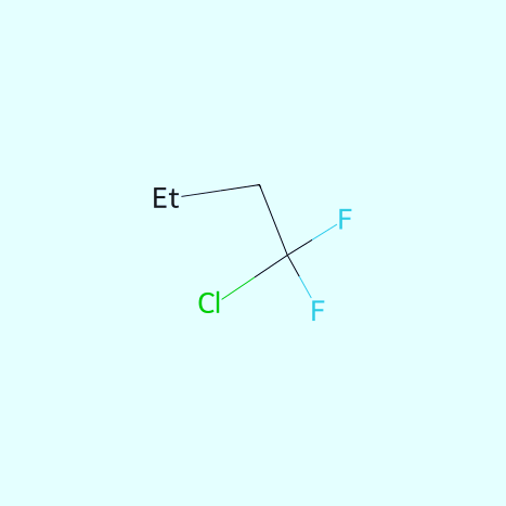 CCCC(F)(F)Cl